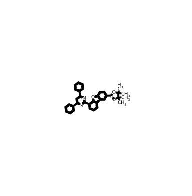 CC1(C)OB(c2ccc3oc4c(-c5nc(-c6ccccc6)cc(-c6ccccc6)n5)cccc4c3c2)OC1(C)C